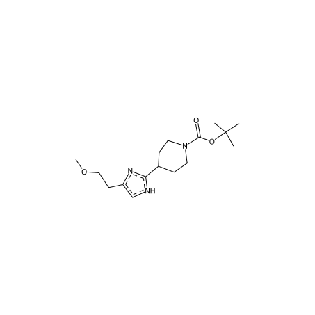 COCCc1c[nH]c(C2CCN(C(=O)OC(C)(C)C)CC2)n1